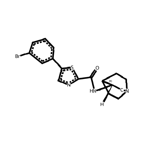 O=C(N[C@H]1CN2CCC1CC2)c1ncc(-c2cccc(Br)c2)s1